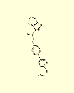 CCCCCOc1ccc(-c2ccc(CCC(=O)n3nnc4ccccc43)cc2)cc1